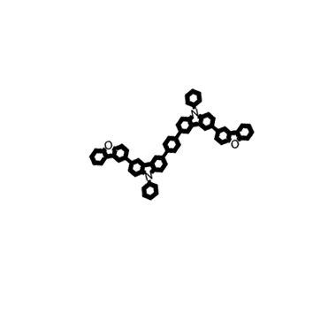 c1ccc(-n2c3ccc(-c4ccc(-c5ccc6c(c5)c5cc(-c7ccc8oc9ccccc9c8c7)ccc5n6-c5ccccc5)cc4)cc3c3cc(-c4ccc5oc6ccccc6c5c4)ccc32)cc1